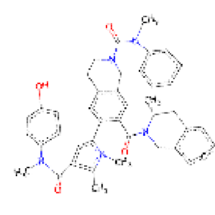 Cc1c(C(=O)N(C)c2ccc(O)cc2)cc(-c2cc3c(cc2C(=O)N2Cc4ccccc4C[C@H]2C)CN(C(=O)N(C)c2ccccc2)CC3)n1C